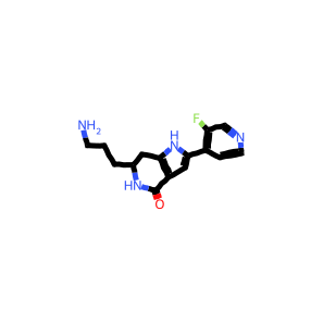 NCCCC1Cc2[nH]c(-c3ccncc3F)cc2C(=O)N1